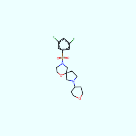 O=S(=O)(c1cc(F)cc(F)c1)N1CCO[C@]2(CCN(C3CCOCC3)C2)C1